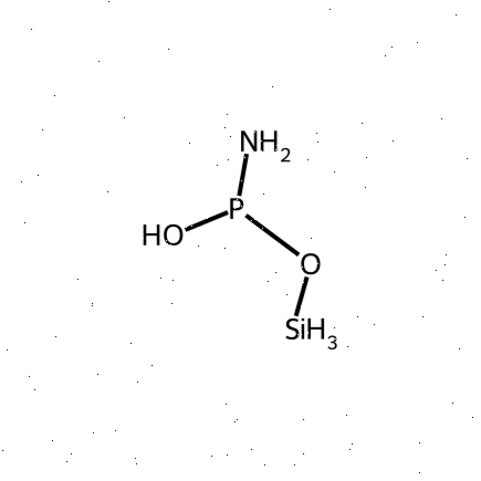 NP(O)O[SiH3]